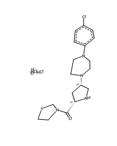 Cl.Cl.Cl.O=C([C@@H]1C[C@H](N2CCN(c3ccc(Cl)cc3)CC2)CN1)N1CCSC1